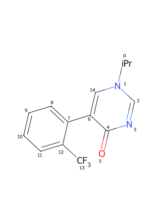 CC(C)n1cnc(=O)c(-c2ccccc2C(F)(F)F)c1